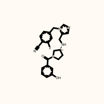 N#Cc1ccc(Cn2cncc2CN[C@@H]2CCN(C(=O)c3cccc(O)c3)C2)cc1F